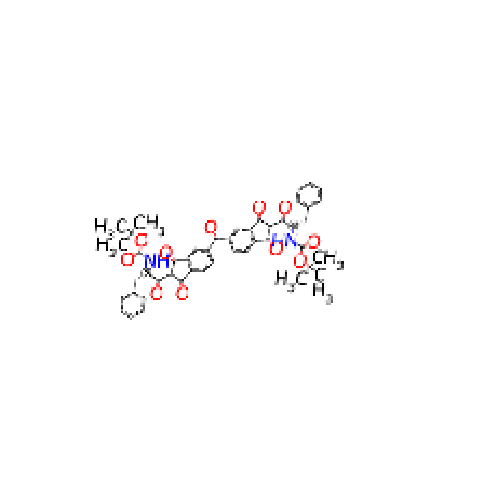 CC(C)(C)OC(=O)N[C@@H](Cc1ccccc1)C(=O)C1C(=O)c2ccc(C(=O)c3ccc4c(c3)C(=O)C(C(=O)[C@H](Cc3ccccc3)NC(=O)OC(C)(C)C)C4=O)cc2C1=O